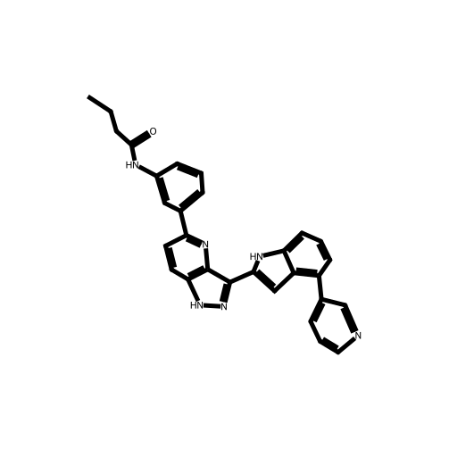 CCCC(=O)Nc1cccc(-c2ccc3[nH]nc(-c4cc5c(-c6cccnc6)cccc5[nH]4)c3n2)c1